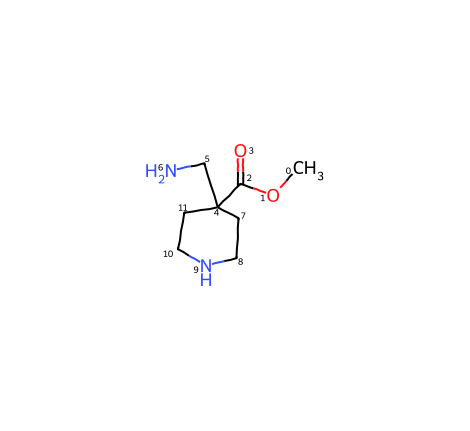 COC(=O)C1(CN)CCNCC1